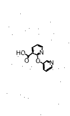 O=C(O)c1cccnc1Oc1cccnc1